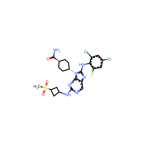 CS(=O)(=O)C1CC(Nc2ncc3nc(Nc4c(F)cc(Cl)cc4Cl)n([C@H]4CC[C@H](C(N)=O)CC4)c3n2)C1